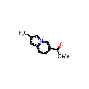 COC(=O)c1ccc2cc(C(F)(F)F)cn2c1